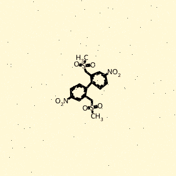 CS(=O)(=O)Cc1cc([N+](=O)[O-])ccc1-c1ccc([N+](=O)[O-])cc1CS(C)(=O)=O